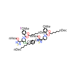 CCCCCCCCCCCCCCC(Cl)(Cc1ccc(OC)cc1)C(=O)[O-].CCCCCCCCCCCCCCCC(=O)OC(c1ccc(OC)cc1)[N+]1(C)CCC=C(c2nsnc2OCCCCCC)C1.CCCCCCCCCCCCCCCC(=O)OC(c1ccc(OC)cc1)[N+]1(C)CCC=C(c2nsnc2OCCCCCC)C1.[I-]